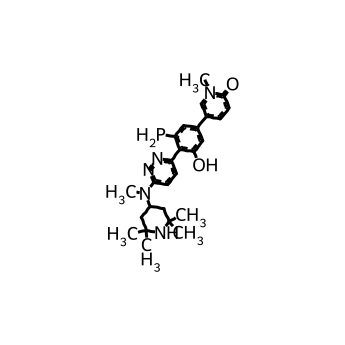 CN(c1ccc(-c2c(O)cc(-c3ccc(=O)n(C)c3)cc2P)nn1)C1CC(C)(C)NC(C)(C)C1